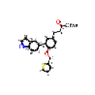 COC(=O)CCc1ccc(OCc2cccs2)c(-c2ccc3[nH]ccc3c2)c1